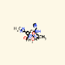 CC(=O)c1nn(CC(=O)N2[C@H](C(=O)NCCn3cccn3)C[C@@]3(C)C[C@@H]23)c2c(C)cc(-c3cnc(C)nc3)cc12